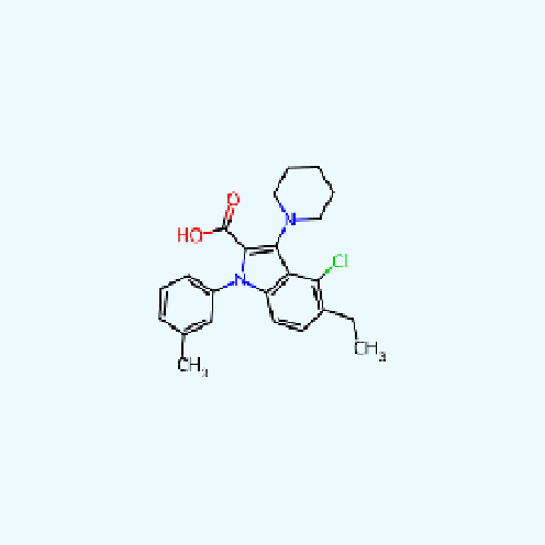 CCc1ccc2c(c1Cl)c(N1CCCCC1)c(C(=O)O)n2-c1cccc(C)c1